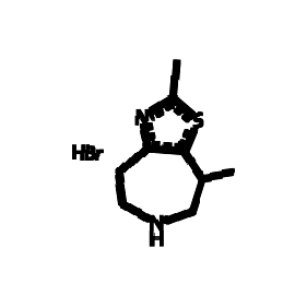 Br.Cc1nc2c(s1)C(C)CNCC2